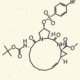 COC(=O)[C@@]12C[C@H]1/C=C\CCCCC[C@H](NC(=O)OC(C)(C)C)C(=O)N1C[C@@H](OS(=O)(=O)c3ccc(Br)cc3)C[C@H]1C(=O)N2